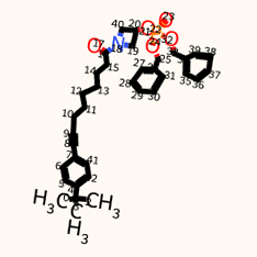 CC(C)(C)c1ccc(C#CCCCCCCC(=O)N2CC(OP(=O)(OCc3ccccc3)OCc3ccccc3)C2)cc1